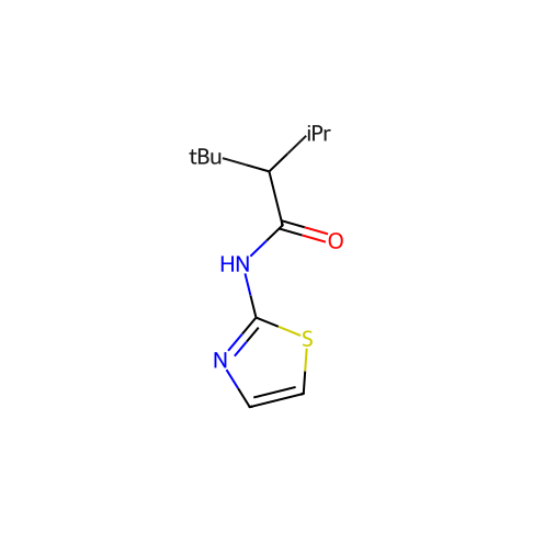 CC(C)C(C(=O)Nc1nccs1)C(C)(C)C